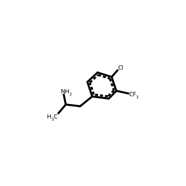 CC(N)Cc1ccc(Cl)c(C(F)(F)F)c1